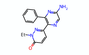 CCn1nc(-c2ncc(N)nc2-c2ccccc2)ccc1=O